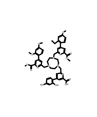 CCc1cc(OC)ccc1-c1cc(CN2CCN(Cc3cc(-c4ccc(O)cc4O)cc(C(=O)O)n3)CCN(Cc3cc(-c4ccc(OC)cc4OC)cc(C(=O)OC)n3)CC2)nc(C(=O)OC)c1